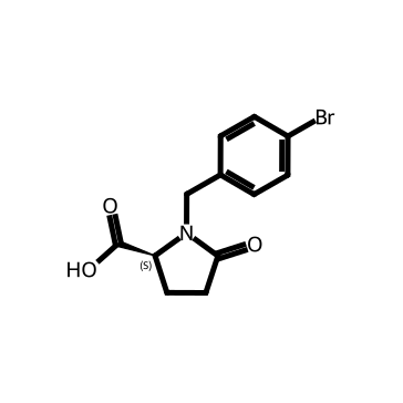 O=C(O)[C@@H]1CCC(=O)N1Cc1ccc(Br)cc1